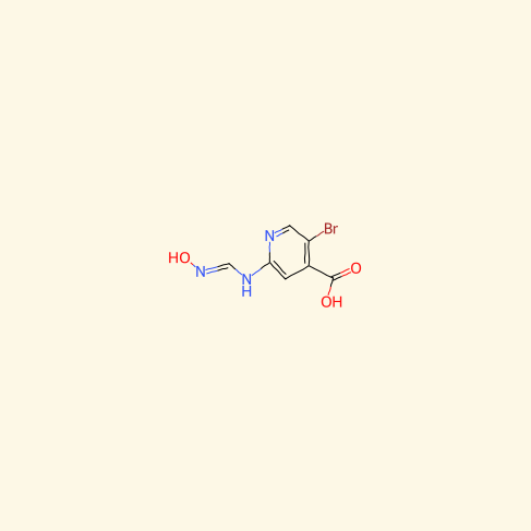 O=C(O)c1cc(N/C=N/O)ncc1Br